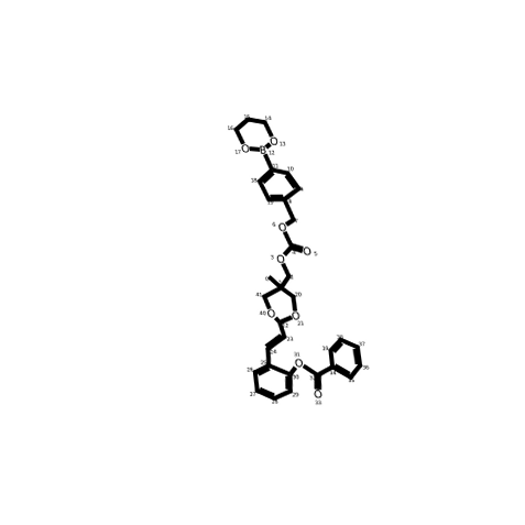 CC1(COC(=O)OCc2ccc(B3OCCCO3)cc2)COC(/C=C/c2ccccc2OC(=O)c2ccccc2)OC1